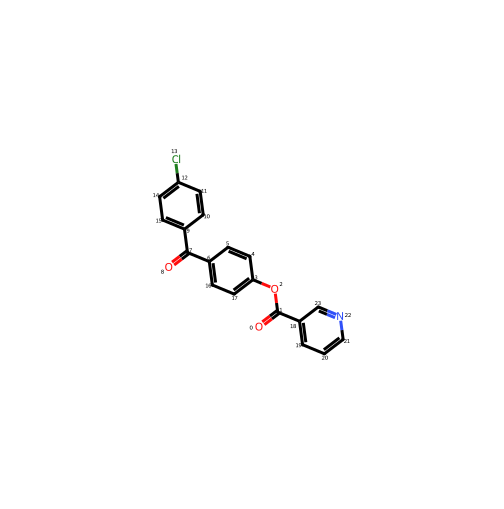 O=C(Oc1ccc(C(=O)c2ccc(Cl)cc2)cc1)c1cccnc1